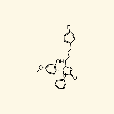 COc1ccc([C@@H]2[C@@H](CCCCc3ccc(F)cc3)SC(=O)N2c2ccccc2)c(O)c1